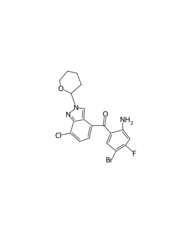 Nc1cc(F)c(Br)cc1C(=O)c1ccc(Cl)c2nn(C3CCCCO3)cc12